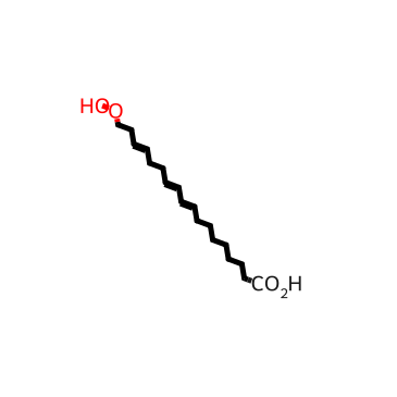 O=C(O)CCCCCCCC=CC=CCCC=CCCOO